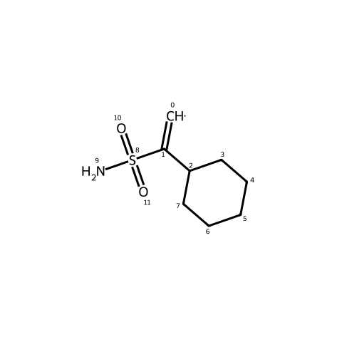 [CH]=C(C1CCCCC1)S(N)(=O)=O